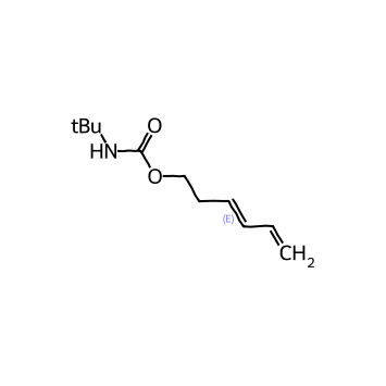 C=C/C=C/CCOC(=O)NC(C)(C)C